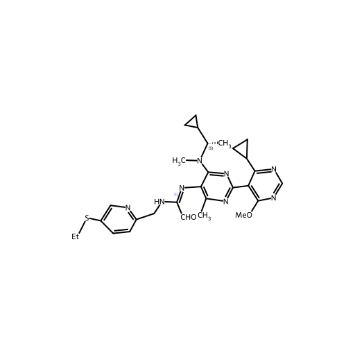 CCSc1ccc(CN/C(C=O)=N/c2c(C)nc(-c3c(OC)ncnc3C3CC3)nc2N(C)[C@@H](C)C2CC2)nc1